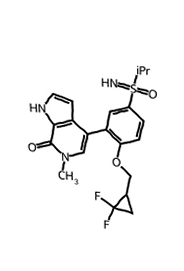 CC(C)S(=N)(=O)c1ccc(OCC2CC2(F)F)c(-c2cn(C)c(=O)c3[nH]ccc23)c1